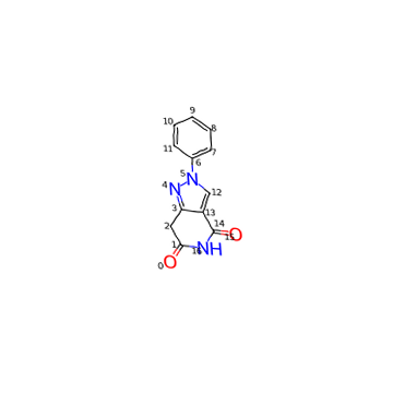 O=C1Cc2nn(-c3ccccc3)cc2C(=O)N1